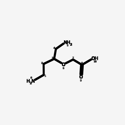 NCCC(CN)OCC(=O)O